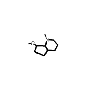 COC1CCC2CCCN(C)C21